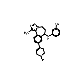 Cc1nnn2c1-c1ccc(C3=CCN(C(C)C)CC3)cc1C(Nc1cccc(C#N)c1)CC2